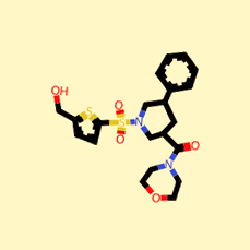 O=C(C1CC(c2ccccc2)CN(S(=O)(=O)c2ccc(CO)s2)C1)N1CCOCC1